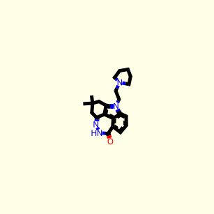 CC1(C)CC2=NNC(=O)c3cccc4c3c2c(n4CCN2CCCCC2)C1